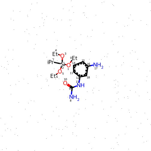 CCO[Si](OCC)(OCC)C(C)C.NC(=O)Nc1cccc(N)c1